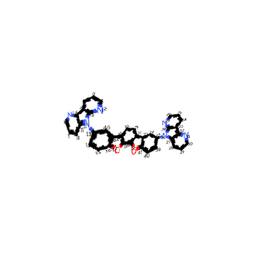 c1cnc2c(c1)c1ncccc1n2-c1ccc2oc3c(ccc4c5cc(-n6c7cccnc7c7cccnc76)ccc5oc43)c2c1